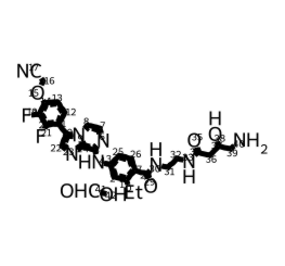 CCc1cc(Nc2nccn3c(-c4ccc(OCC#N)c(F)c4F)cnc23)ccc1C(=O)NCCNC(=O)CC(O)CN.O=CO